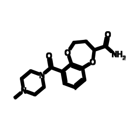 CN1CCN(C(=O)c2c[c]cc3c2OCCC(C(N)=O)O3)CC1